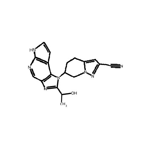 CC(O)c1nc2cnc3[nH]ccc3c2n1C1CCc2cc(C#N)nn2C1